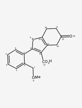 COCc1ccccc1-c1sc2c(c1C(=O)O)CC(=O)CC2